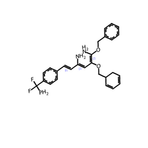 NC(=C\C(OCC1C=CC=CC1)=C(/N)OCc1ccccc1)/C=C/c1ccc(C(F)(F)P)cc1